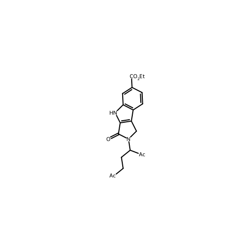 CCOC(=O)c1ccc2c3c([nH]c2c1)C(=O)N(C(CCC(C)=O)C(C)=O)C3